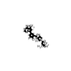 CC(O)(CC(=O)N1C[C@H](F)[C@H](NC(=O)c2cc(-c3cc(C(F)(F)F)c4c(N)ncnn34)cc(F)c2Cl)C1)C(F)(F)F